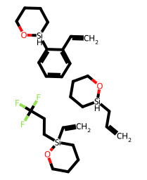 C=CC[SiH]1CCCCO1.C=C[Si]1(CCC(F)(F)F)CCCCO1.C=Cc1ccccc1[SiH]1CCCCO1